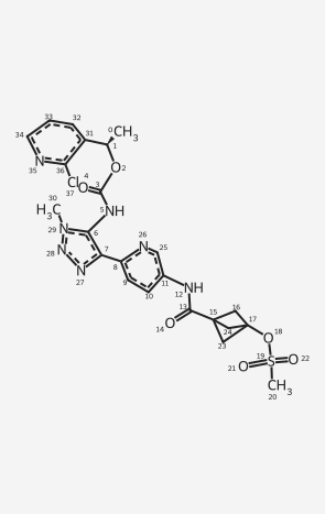 C[C@@H](OC(=O)Nc1c(-c2ccc(NC(=O)C34CC(OS(C)(=O)=O)(C3)C4)cn2)nnn1C)c1cccnc1Cl